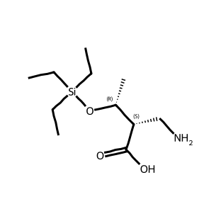 CC[Si](CC)(CC)O[C@H](C)[C@H](CN)C(=O)O